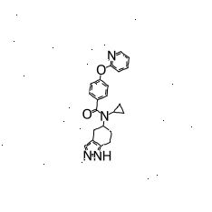 O=C(c1ccc(Oc2ccccn2)cc1)N(C1CC1)C1CCc2[nH]ncc2C1